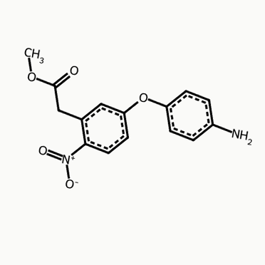 COC(=O)Cc1cc(Oc2ccc(N)cc2)ccc1[N+](=O)[O-]